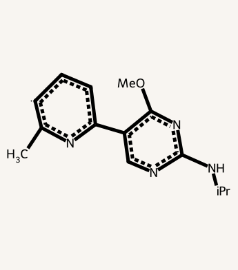 COc1nc(NC(C)C)ncc1-c1cc[c]c(C)n1